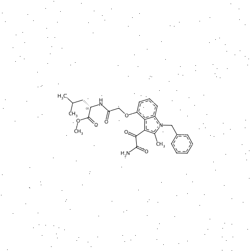 COC(=O)[C@H](CC(C)C)NC(=O)COc1cccc2c1c(C(=O)C(N)=O)c(C)n2Cc1ccccc1